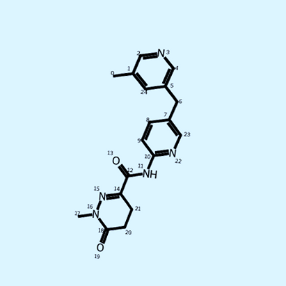 Cc1cncc(Cc2ccc(NC(=O)C3=NN(C)C(=O)CC3)nc2)c1